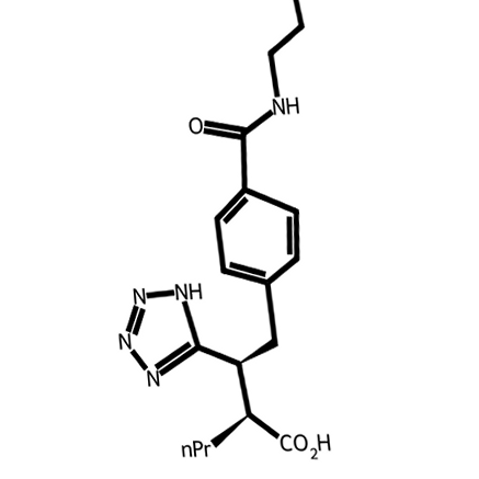 CCC[C@H](C(=O)O)[C@H](Cc1ccc(C(=O)NCCO)cc1)c1nnn[nH]1